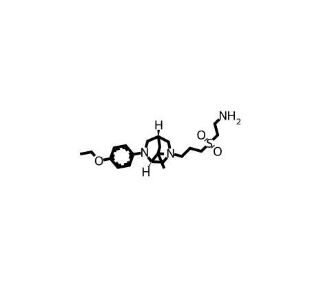 CCOc1ccc(N2C[C@@H]3CN(CCCS(=O)(=O)CCN)C[C@@H]2C(C)(C)C3)cc1